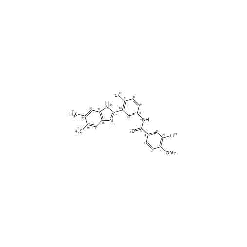 COc1ccc(C(=O)Nc2ccc(Cl)c(-c3nc4cc(C)c(C)cc4[nH]3)c2)cc1Cl